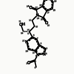 CC(=O)n1ncc2cc([C@H](CO)CCN3C(=O)c4ccccc4C3=O)ncc21